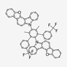 Cc1c(-c2cccc(C(F)(F)F)c2)c(-n2c3ccccc3c3c4oc5ccccc5c4ccc32)c(-c2cccc(C(F)(F)F)c2)c(C)c1-n1c2ccccc2c2c3oc4ccccc4c3ccc21